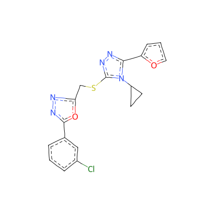 Clc1cccc(-c2nnc(CSc3nnc(-c4ccco4)n3C3CC3)o2)c1